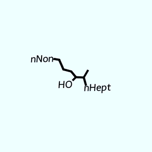 CCCCCCCCCCCCC(O)C(C)CCCCCCC